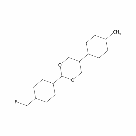 CC1CCC(C2COC(C3CCC(CF)CC3)OC2)CC1